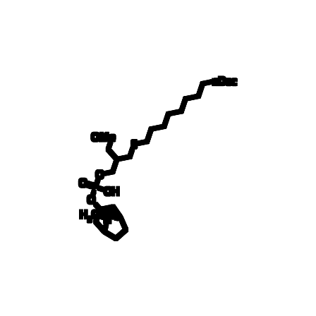 CCCCCCCCCCCCCCCCCCSCC(COC)COP(=O)(O)OC1CC2CCC(C1)[N+]2(C)C